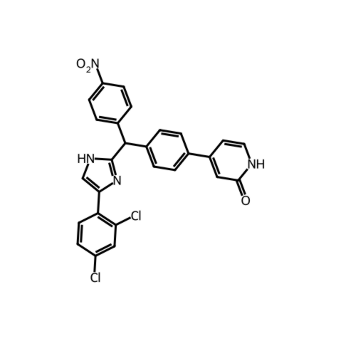 O=c1cc(-c2ccc(C(c3ccc([N+](=O)[O-])cc3)c3nc(-c4ccc(Cl)cc4Cl)c[nH]3)cc2)cc[nH]1